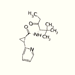 CCC(=O)[C@@H](NC(=O)[C@@H]1CC1c1ccccn1)C(C)(C)C